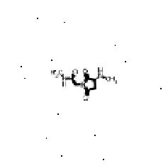 CNC(=O)CN1C(=O)C[C@H](NC)C1=O